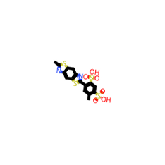 CC1=NC2=Cc3sc(-c4cc(C)c(S(=O)(=O)O)cc4S(=O)(=O)O)nc3CC2S1